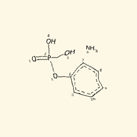 N.O=P(O)(O)Oc1ccccc1